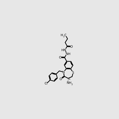 CCCC(=O)NNC(=O)c1ccc2c(c1)N(Cc1ccc(Cl)cc1)C(=O)[C@@H](N)CS2